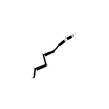 CC=CC=CC=C=O